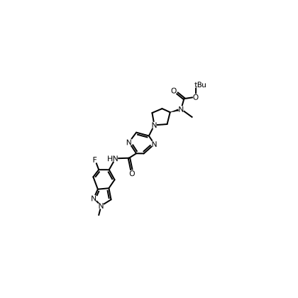 CN(C(=O)OC(C)(C)C)[C@@H]1CCN(c2cnc(C(=O)Nc3cc4cn(C)nc4cc3F)cn2)C1